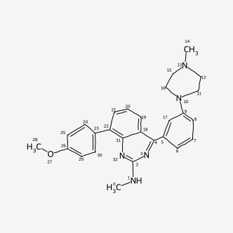 CNc1nc(-c2cccc(N3CCN(C)CC3)c2)c2cccc(-c3ccc(OC)cc3)c2n1